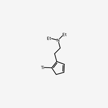 CCN(CC)CCC1=[C]([Ti])CC=C1